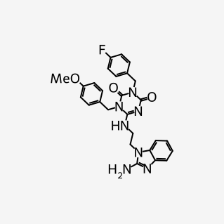 COc1ccc(Cn2c(NCCn3c(N)nc4ccccc43)nc(=O)n(Cc3ccc(F)cc3)c2=O)cc1